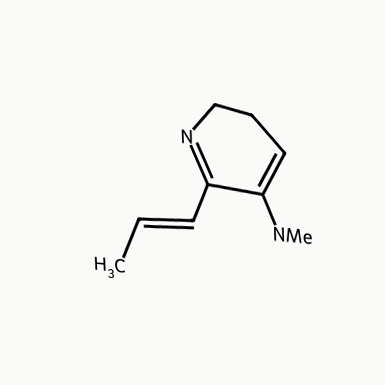 CC=CC1=NCCC=C1NC